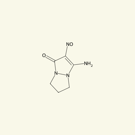 Nc1c(N=O)c(=O)n2n1CCC2